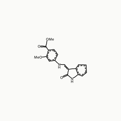 COC(=O)c1ccc(NC=C2C(=O)Nc3ccccc32)cc1OC